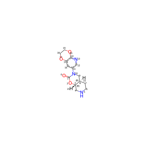 O=C1O[C@H]2CNCC[C@@H]2CN1c1cnc2c(c1)OCCO2